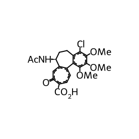 COc1c(Cl)c2c(c(OC)c1OC)-c1ccc(C(=O)O)c(=O)cc1[C@@H](NC(C)=O)CC2